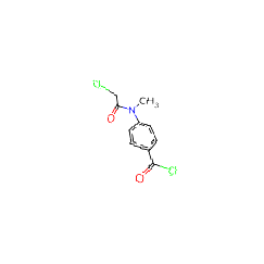 CN(C(=O)CCl)c1ccc(C(=O)Cl)cc1